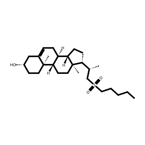 CCCCCS(=O)(=O)C[C@@H](C)[C@H]1CC[C@H]2[C@@H]3CC=C4C[C@@H](O)CC[C@]4(C)[C@H]3CC[C@]12C